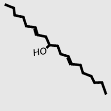 CCCCCC=CCC(O)CCC=CCCCCCC